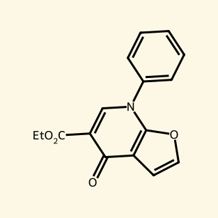 CCOC(=O)c1cn(-c2ccccc2)c2occc2c1=O